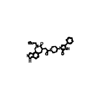 CC(C)(C)CN1Cc2c(ccc3[nH]ncc23)CC(CC(=O)N2CCC(n3cc(-c4ccccc4)[nH]c3=O)CC2)C1=O